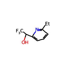 CCc1cccc(C(O)C(F)(F)F)n1